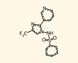 O=S(=O)(Nn1cc(C(F)(F)F)nc1-c1cccnc1)c1ccccc1